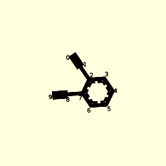 C#Cc1ccccc1C#C